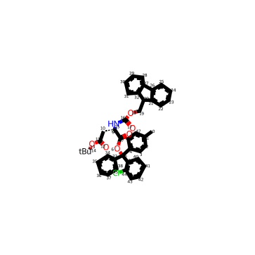 Cc1ccc(C(OC(=O)[C@H](CC(=O)OC(C)(C)C)NC(=O)OCC2c3ccccc3-c3ccccc32)(c2ccccc2)c2ccccc2Cl)cc1